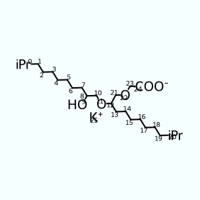 CC(C)CCCCCCCC(O)COC(CCCCCCCC(C)C)COCC(=O)[O-].[K+]